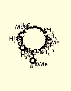 CO[C@H]1C[C@@H]2CC[C@@H](C)[C@@](O)(O2)C(=O)C(=O)N2CCCC[C@H]2C(=O)O[C@H]([C@H](C)C[C@@H]2CC[C@@H](I)[C@H](OC)C2)CC[C@H](C)/C=C(\C)[C@@H](O)[C@@H](OC)C(=O)[C@H](C)C[C@H](C)/C=C/C=C/C=C/1C